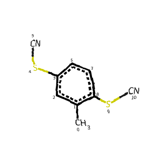 Cc1cc(SC#N)ccc1SC#N